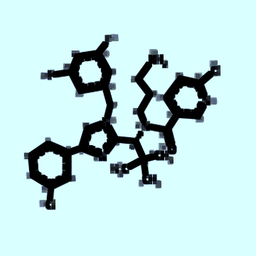 CC(C)(C)[C@H](c1nc(-c2cccc(Cl)c2)cn1Cc1cc(F)cc(F)c1)N(CCCN)C(=O)c1ccc(Cl)nc1